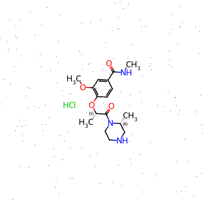 CNC(=O)c1ccc(O[C@@H](C)C(=O)N2CCNC[C@H]2C)c(OC)c1.Cl